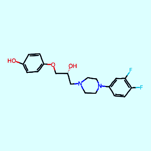 Oc1ccc(OC[C@H](O)CN2CCN(c3ccc(F)c(F)c3)CC2)cc1